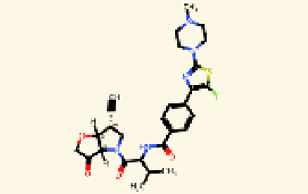 C#C[C@@H]1CN(C(=O)C(NC(=O)c2ccc(-c3nc(N4CCN(C)CC4)sc3F)cc2)C(C)C)[C@@H]2C(=O)CO[C@H]12